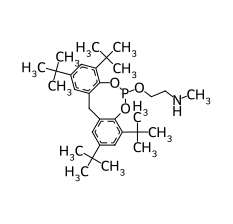 CNCCOP1Oc2c(cc(C(C)(C)C)cc2C(C)(C)C)Cc2cc(C(C)(C)C)cc(C(C)(C)C)c2O1